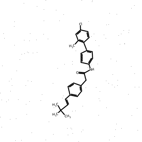 Cc1cc(Cl)ccc1-c1ccc(NC(=O)Cc2ccc(/C=C/C(C)(C)C)cc2)cc1